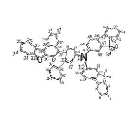 CC1(C)c2ccccc2-c2ccc(N(c3ccc(-c4cc5oc6ccccc6c5c5ccccc45)c(-c4ccccc4)c3)c3ccc4c(c3)C(C)(C)c3ccccc3-4)cc21